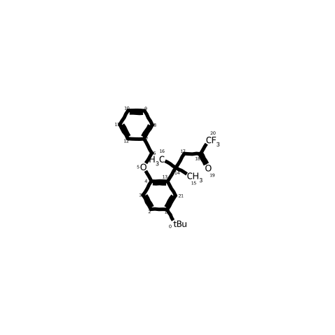 CC(C)(C)c1ccc(OCc2ccccc2)c(C(C)(C)CC(=O)C(F)(F)F)c1